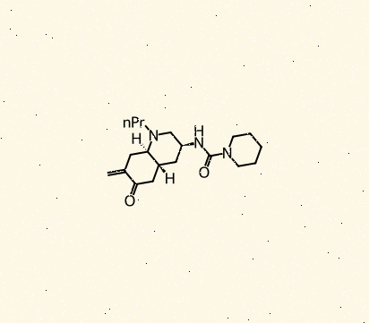 C=C1C[C@@H]2[C@@H](CC1=O)C[C@H](NC(=O)N1CCCCC1)CN2CCC